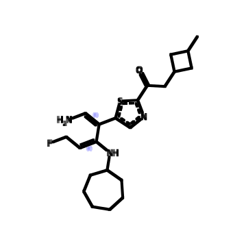 CC1CC(CC(=O)c2ncc(C(=C/N)/C(=C\CF)NC3CCCCCC3)s2)C1